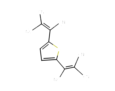 N#CC(C#N)=C(C#N)c1ccc(C(C#N)=C(C#N)C#N)s1